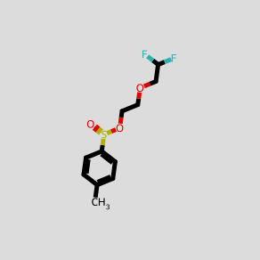 Cc1ccc(S(=O)OCCOCC(F)F)cc1